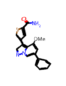 COc1cc(-c2ccccc2)cn2ncc(-c3csc(C(N)=O)c3)c12